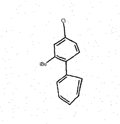 CCC(C)c1cc(Cl)ccc1-c1ccccc1